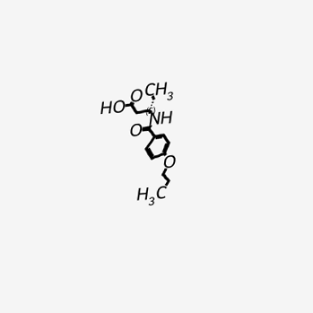 CCCOc1ccc(C(=O)N[C@@H](CC)CC(=O)O)cc1